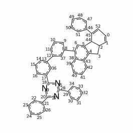 C1=CC2Cc3c(cc(-c4cccc(-c5cccc(-c6nc(-c7ccccc7)nc(-c7ccccc7)n6)c5)c4)c4ccccc34)C2C(c2ccccc2)=C1